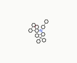 c1ccc(-c2ccc(N(c3cccc4c3-c3ccccc3C4(c3ccccc3)c3ccccc3)c3ccc(-c4ccccc4-c4ccccc4)c4ccccc34)cc2)cc1